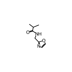 CC(C)C(=O)NCc1ncco1